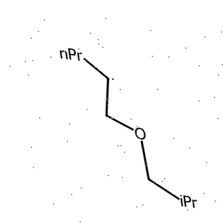 [CH2]CC[CH]COCC(C)C